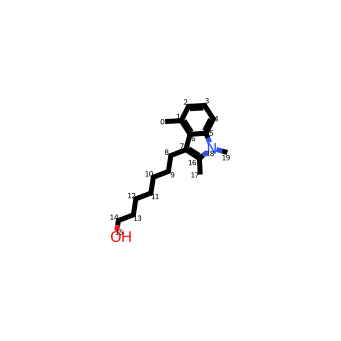 Cc1cccc2c1c(CCCCCCCO)c(C)n2C